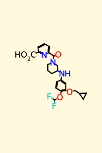 O=C(O)c1cccc(C(=O)N2CCC[C@H](Nc3ccc(OC(F)F)c(OCC4CC4)c3)C2)n1